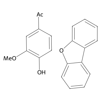 COc1cc(C(C)=O)ccc1O.c1ccc2c(c1)oc1ccccc12